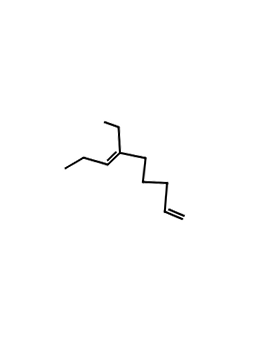 C=CCCCC(=CCC)CC